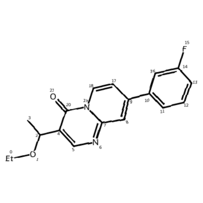 CCOC(C)c1cnc2cc(-c3cccc(F)c3)ccn2c1=O